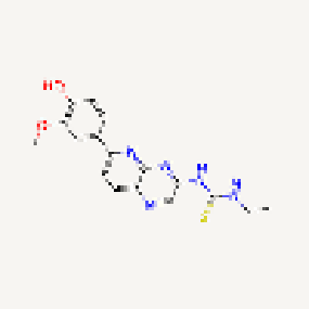 CCNC(=S)Nc1cnc2ccc(-c3ccc(O)c(OC)c3)nc2n1